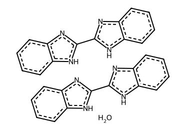 O.c1ccc2[nH]c(-c3nc4ccccc4[nH]3)nc2c1.c1ccc2[nH]c(-c3nc4ccccc4[nH]3)nc2c1